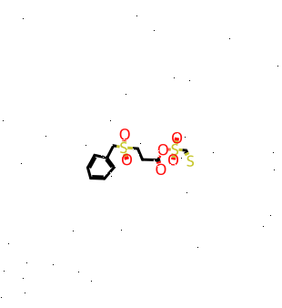 O=C(CCS(=O)(=O)Cc1ccccc1)OS(=O)(=O)C=S